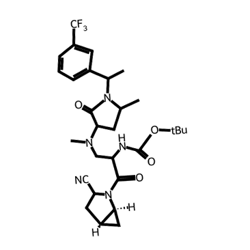 CC1CC(N(C)CC(NC(=O)OC(C)(C)C)C(=O)N2C(C#N)C[C@@H]3C[C@@H]32)C(=O)N1C(C)c1cccc(C(F)(F)F)c1